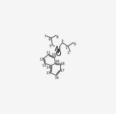 CC(C)[CH2][Al]([CH2]C(C)C)[O]c1cccc2ccccc12